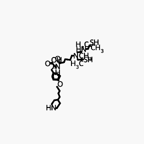 CC(C)(S)CNCCN(CCCCC(=O)N[C@@H](Cc1ccc(OCCCCC2CCNCC2)cc1)C(=O)O)CC(C)(C)S